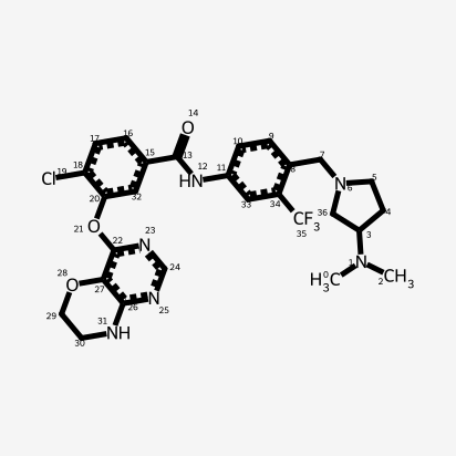 CN(C)C1CCN(Cc2ccc(NC(=O)c3ccc(Cl)c(Oc4ncnc5c4OCCN5)c3)cc2C(F)(F)F)C1